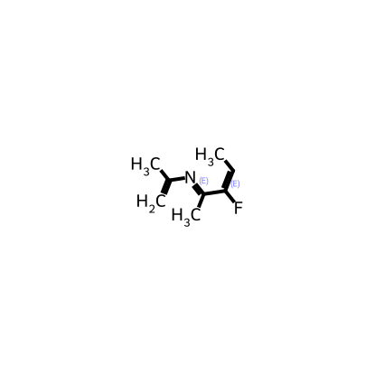 C=C(C)/N=C(C)/C(F)=C\C